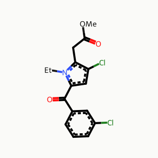 CCn1c(C(=O)c2cccc(Cl)c2)cc(Cl)c1CC(=O)OC